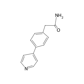 NC(=O)Cc1ccc(-c2ccncc2)cc1